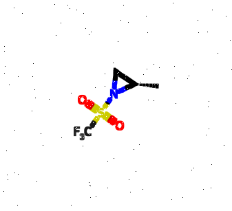 C[C@H]1CN1S(=O)(=O)C(F)(F)F